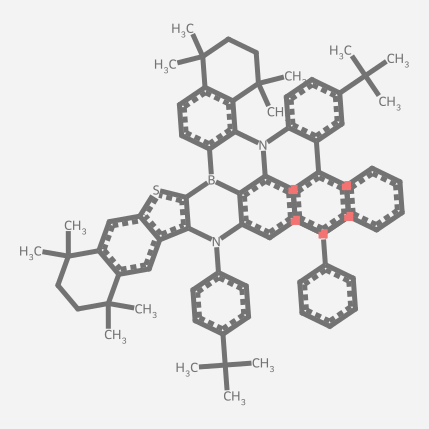 CC(C)(C)c1ccc(N2c3cc(N(c4ccccc4)c4ccccc4)cc4c3B(c3ccc5c(c3N4c3ccc(C(C)(C)C)cc3-c3ccccc3)C(C)(C)CCC5(C)C)c3sc4cc5c(cc4c32)C(C)(C)CCC5(C)C)cc1